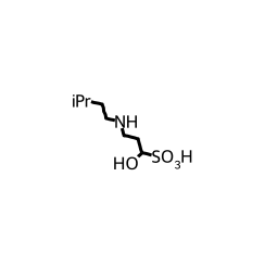 CC(C)CCNCCC(O)S(=O)(=O)O